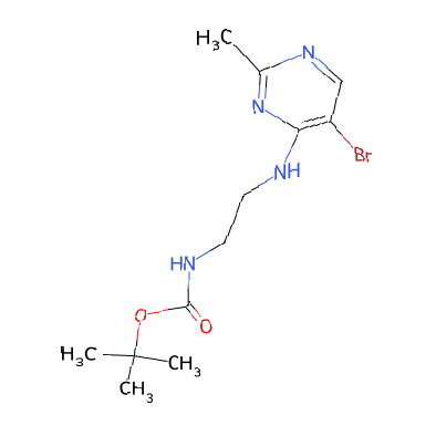 Cc1ncc(Br)c(NCCNC(=O)OC(C)(C)C)n1